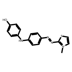 C[n+]1ccsc1N=Nc1ccc(Nc2ccc(O)cc2)cc1